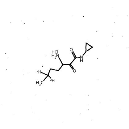 Cl.[2H]C([2H])(C)CCC(N)C(=O)C(=O)NC1CC1